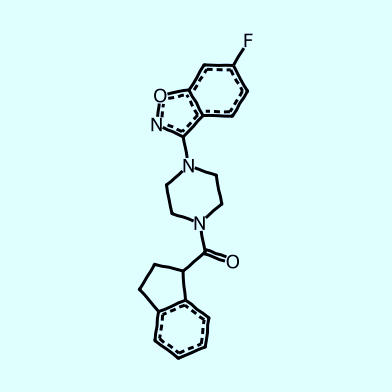 O=C(C1CCc2ccccc21)N1CCN(c2noc3cc(F)ccc23)CC1